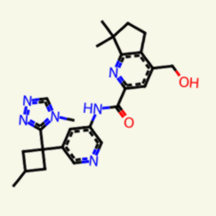 CC1CC(c2cncc(NC(=O)c3cc(CO)c4c(n3)C(C)(C)CC4)c2)(c2nncn2C)C1